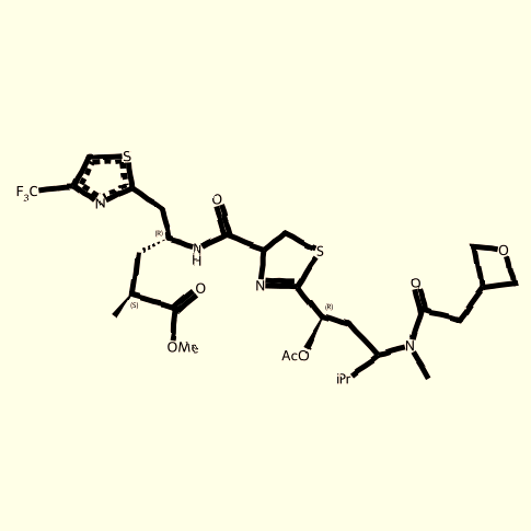 COC(=O)[C@@H](C)C[C@H](Cc1nc(C(F)(F)F)cs1)NC(=O)C1CSC([C@@H](CC(C(C)C)N(C)C(=O)CC2COC2)OC(C)=O)=N1